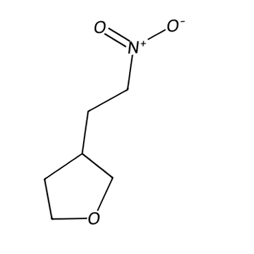 O=[N+]([O-])CCC1CCOC1